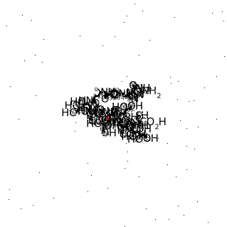 C[C@H](CCC(=O)N[C@H](C(=O)N[C@@H](CC(=O)O)C(=O)N[C@H](C(=O)NC(CC(=O)O)C(=O)N[C@H](C(=O)N[C@@H](CC(=O)O)C(=O)N[C@H](C(=O)N[C@@H](CS)C(=O)O)[C@@H](O)[C@H](O)[C@H](O)CO)[C@@H](O)[C@H](O)[C@H](O)CO)[C@@H](O)[C@H](O)[C@H](O)CO)[C@@H](O)[C@H](O)[C@H](O)CO)NC(=O)c1ccc(NCc2cnc3nc(N)[nH]c(=O)c3n2)cc1